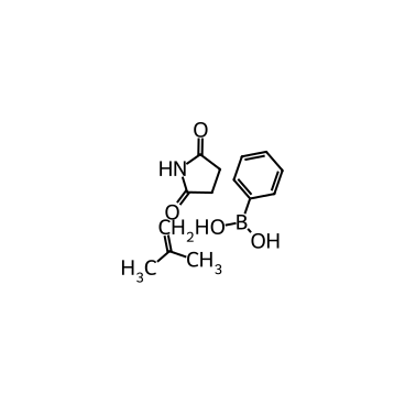 C=C(C)C.O=C1CCC(=O)N1.OB(O)c1ccccc1